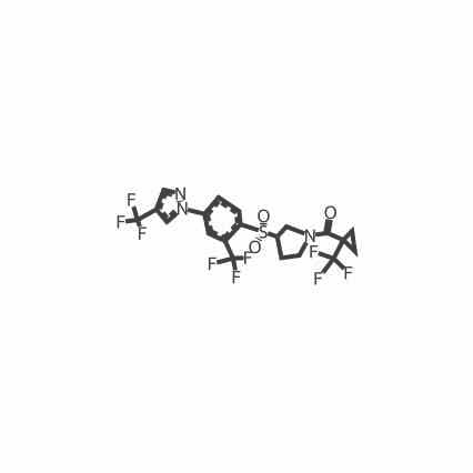 O=C(N1CCC(S(=O)(=O)c2ccc(-n3cc(C(F)(F)F)cn3)cc2C(F)(F)F)C1)C1(C(F)(F)F)CC1